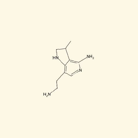 CC1CNc2c(CCN)cnc(N)c21